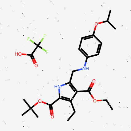 CCOC(=O)c1c(CNc2ccc(OC(C)C)cc2)[nH]c(C(=O)OC(C)(C)C)c1CC.O=C(O)C(F)(F)F